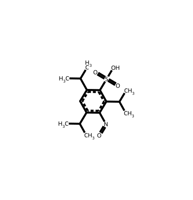 CC(C)c1cc(C(C)C)c(S(=O)(=O)O)c(C(C)C)c1N=O